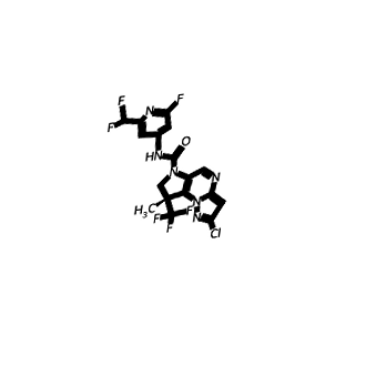 C[C@@]1(C(F)(F)F)CN(C(=O)Nc2cc(F)nc(C(F)F)c2)c2cnc3cc(Cl)nn3c21